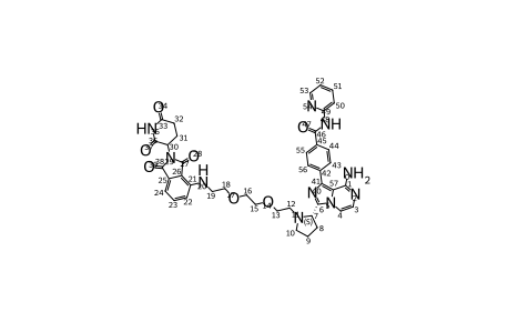 Nc1nccn2c([C@@H]3CCCN3CCOCCOCCNc3cccc4c3C(=O)N(C3CCC(=O)NC3=O)C4=O)nc(-c3ccc(C(=O)Nc4ccccn4)cc3)c12